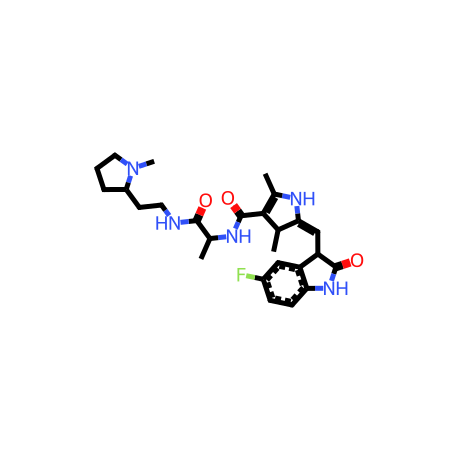 CC1=C(C(=O)NC(C)C(=O)NCCC2CCCN2C)C(C)C(=CC2C(=O)Nc3ccc(F)cc32)N1